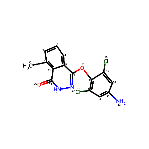 Cc1cccc2c(Oc3c(Cl)cc(N)cc3Cl)n[nH]c(=O)c12